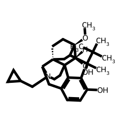 CO[C@]12CC[C@@]3(CC1C(C)(O)C(C)(C)C)C1Cc4ccc(O)c5c4C3(CCN1CC1CC1)[C@H]2O5